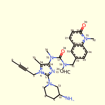 CC#CCn1c(N2CCCC(N)C2)nc(N(C)C(=O)N(C=O)Cc2ccc3c(ccc(=O)n3C)c2)c1C